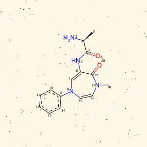 C[C@H](N)C(=O)NC1=CN(c2ccccc2)C=CN(C)C1=O